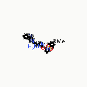 COc1cc(C)c(S(=O)(=O)N2CCC[C@H]2COc2nccc(C(N)CCN3CCC(c4ccccc4)(N(C)C)CC3)n2)c(C)c1